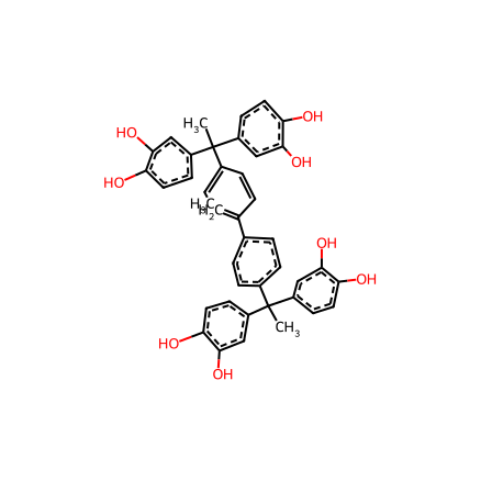 C=C(/C=C\C(=C/C)C(C)(c1ccc(O)c(O)c1)c1ccc(O)c(O)c1)c1ccc(C(C)(c2ccc(O)c(O)c2)c2ccc(O)c(O)c2)cc1